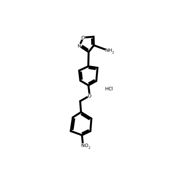 Cl.Nc1conc1-c1ccc(OCc2ccc([N+](=O)[O-])cc2)cc1